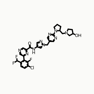 O=C(Nc1cnn(Cc2cnc(N3CCCC3CN3CCC(O)C3)nc2)c1)c1cncc(-c2c(C(F)F)ccc(Cl)c2F)n1